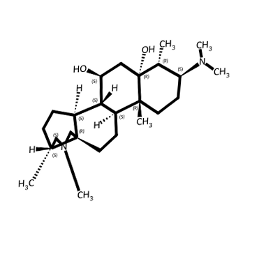 C[C@@H]1[C@@H](N(C)C)CC[C@]2(C)[C@H]3CC[C@]45CN(C)[C@@H](C)[C@H]4CC[C@H]5[C@@H]3[C@@H](O)C[C@@]12O